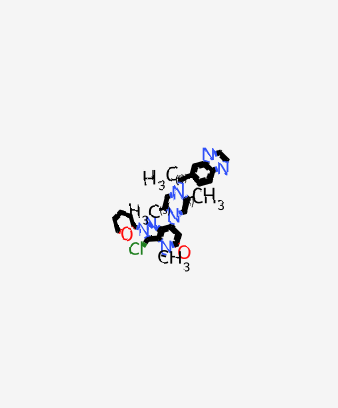 C[C@@H]1CN(c2cc(=O)n(C)c3c(Cl)n(C4CCCCO4)nc23)[C@@H](C)CN1[C@H](C)c1ccc2nccnc2c1